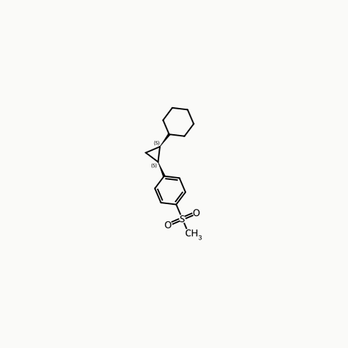 CS(=O)(=O)c1ccc([C@H]2C[C@H]2C2CCCCC2)cc1